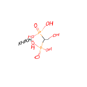 O=P(O)(O)C(O)P(=O)(O)O.[KH].[KH]